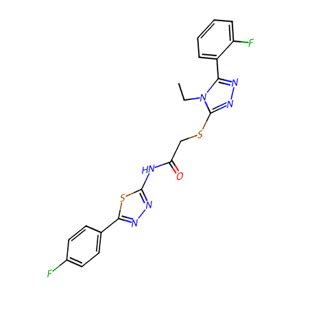 CCn1c(SCC(=O)Nc2nnc(-c3ccc(F)cc3)s2)nnc1-c1ccccc1F